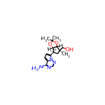 CC1(C)O[C@H]2[C@H](c3ccc4c(N)ncnn34)C[C@](C)(CO)[C@H]2O1